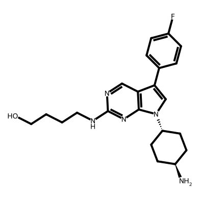 N[C@H]1CC[C@H](n2cc(-c3ccc(F)cc3)c3cnc(NCCCCO)nc32)CC1